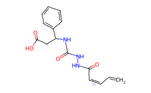 C=C/C=C\C(=O)NNC(=O)NC(CC(=O)O)c1ccccc1